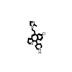 Cc1nccn1CCC1=Cc2cccnc2C(C2CCNCC2)c2ccc(Cl)cc21